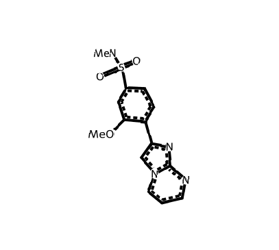 CNS(=O)(=O)c1ccc(-c2cn3cccnc3n2)c(OC)c1